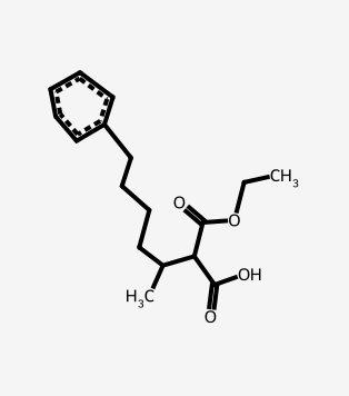 CCOC(=O)C(C(=O)O)C(C)CCCCc1ccccc1